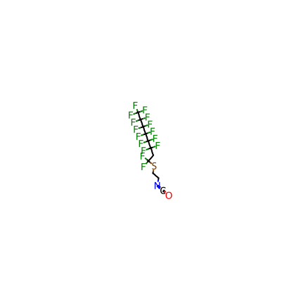 O=C=NCCSC(F)(F)CC(F)(F)C(F)(F)C(F)(F)C(F)(F)C(F)(F)C(F)(F)F